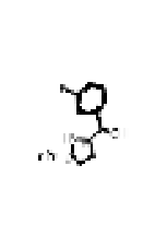 CCC[C@H]1CC[C@H](C(O)c2cccc(F)c2)N1